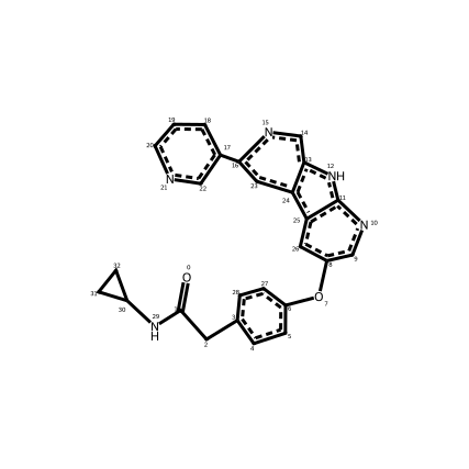 O=C(Cc1ccc(Oc2cnc3[nH]c4cnc(-c5cccnc5)cc4c3c2)cc1)NC1CC1